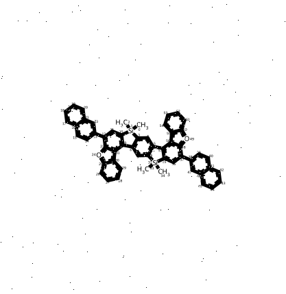 C[Si]1(C)c2cc3c(cc2-c2c1cc(-c1ccc4ccccc4c1)c1oc4ccccc4c21)[Si](C)(C)c1cc(-c2ccc4ccccc4c2)c2oc4ccccc4c2c1-3